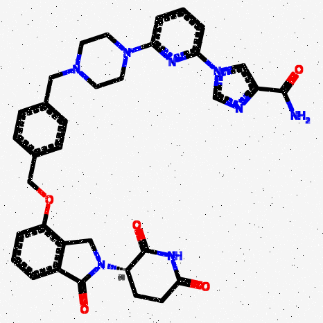 NC(=O)c1cn(-c2cccc(N3CCN(Cc4ccc(COc5cccc6c5CN([C@H]5CCC(=O)NC5=O)C6=O)cc4)CC3)n2)cn1